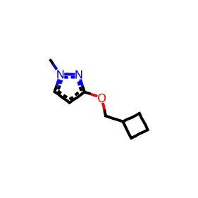 Cn1ccc(OCC2CCC2)n1